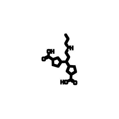 CCCPCCC(C1CCC(C(=O)O)C1)C1CCC(C(=O)O)C1